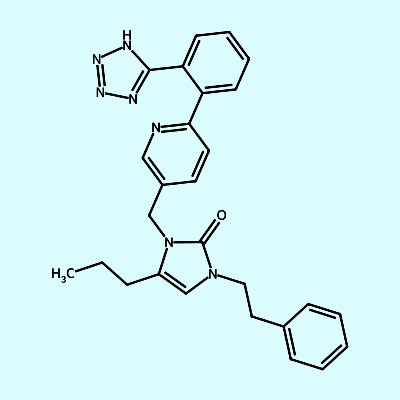 CCCc1cn(CCc2ccccc2)c(=O)n1Cc1ccc(-c2ccccc2-c2nnn[nH]2)nc1